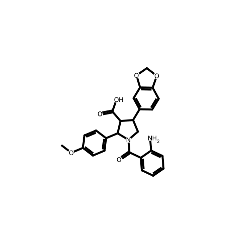 COc1ccc(C2C(C(=O)O)C(c3ccc4c(c3)OCO4)CN2C(=O)c2ccccc2N)cc1